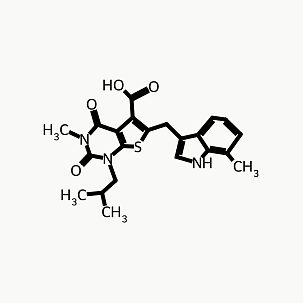 Cc1cccc2c(Cc3sc4c(c3C(=O)O)c(=O)n(C)c(=O)n4CC(C)C)c[nH]c12